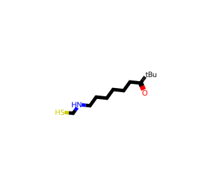 CC(C)(C)C(=O)CCCCCCNCS